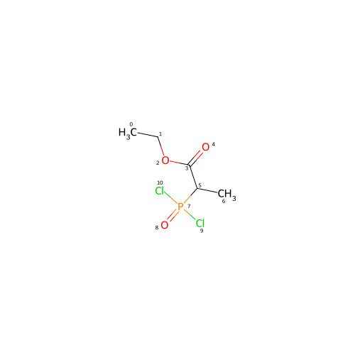 CCOC(=O)C(C)P(=O)(Cl)Cl